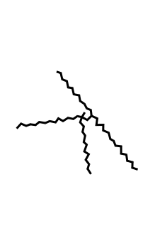 CCCCCCCCCCCCCCCC(CCCCCCCCCCCC)CC(C)(CCCCCCCCCCCC)CCCCCCCCCCCCCC